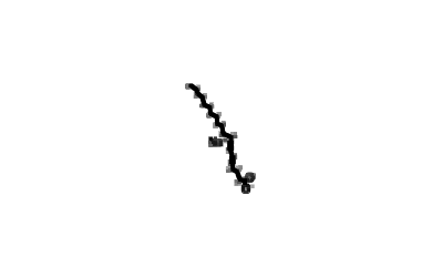 CCCCCCCCCCCCC#CC#CCCCC(=O)[O-].[Na+]